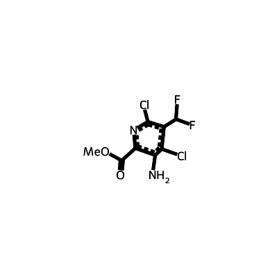 COC(=O)c1nc(Cl)c(C(F)F)c(Cl)c1N